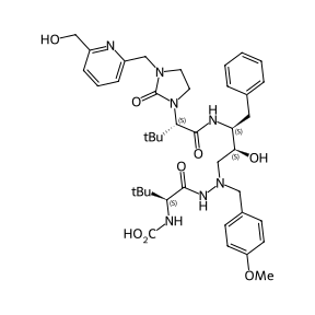 COc1ccc(CN(C[C@H](O)[C@H](Cc2ccccc2)NC(=O)[C@@H](N2CCN(Cc3cccc(CO)n3)C2=O)C(C)(C)C)NC(=O)[C@@H](NC(=O)O)C(C)(C)C)cc1